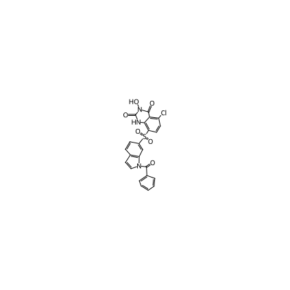 O=C(c1ccccc1)n1ccc2ccc(S(=O)(=O)c3ccc(Cl)c4c(=O)n(O)c(=O)[nH]c34)cc21